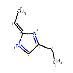 CC=C1N=CC(CC)=N1